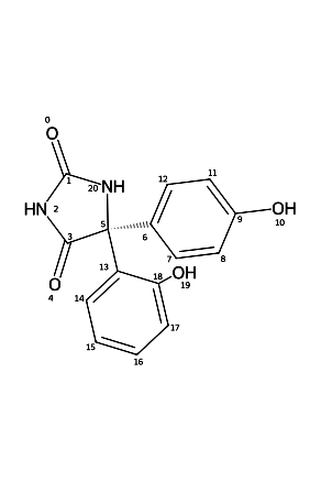 O=C1NC(=O)[C@](c2ccc(O)cc2)(c2ccccc2O)N1